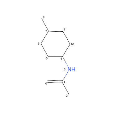 C=C(C)NC1CCC(C)CC1